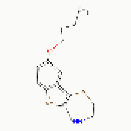 CCCCOc1ccc2sc3c(c2c1)SCCNC3